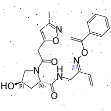 C=C/C(CNC(=O)[C@@H]1C[C@@H](O)CN1C(=O)Cc1cc(C)no1)=N\OC(=C)c1ccccc1